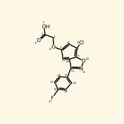 O=C(O)COc1cc(Cl)c2onc(-c3ccc(F)cc3)c2c1